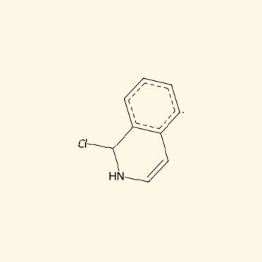 ClC1NC=Cc2[c]cccc21